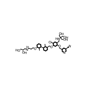 Cc1c(COc2cc(OCc3cncc(C#N)c3)c(CNC(CO)(CO)CO)cc2Cl)cccc1-c1cccc(OCCCNC[C@H](O)CO)c1C